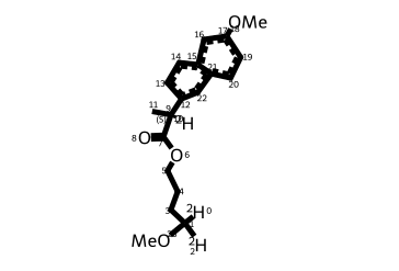 [2H]C([2H])(CCCOC(=O)[C@@]([2H])(C)c1ccc2cc(OC)ccc2c1)OC